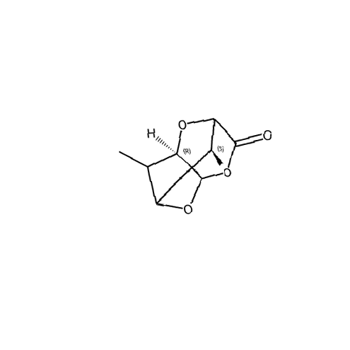 CC1C2OC3OC(=O)C(O[C@@H]31)[C@H]2C